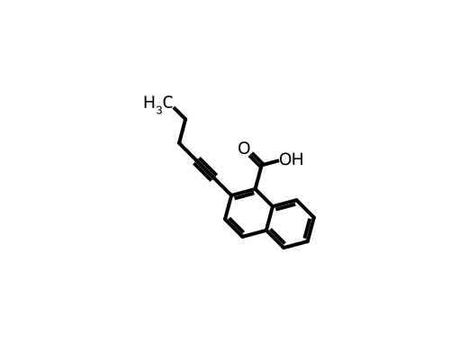 CCCC#Cc1ccc2ccccc2c1C(=O)O